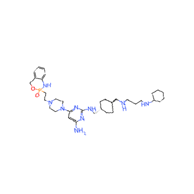 Nc1cc(N2CCN(CCP3(=O)Nc4ccccc4CO3)CC2)nc(NC[C@H]2CC[C@H](CNCCCNC3CCCCC3)CC2)n1